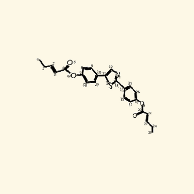 CCC=CC(=O)Oc1ccc(-c2cnc(-c3ccc(OC(=O)C=CCC)cc3)s2)cc1